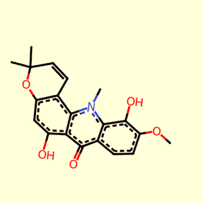 COc1ccc2c(=O)c3c(O)cc4c(c3n(C)c2c1O)C=CC(C)(C)O4